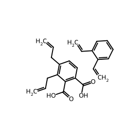 C=CCc1ccc(C(=O)O)c(C(=O)O)c1CC=C.C=Cc1ccccc1C=C